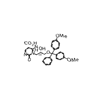 COc1ccc(C(OC[C@@H](O)Cn2c(NC(=O)O)ccnc2=O)(c2ccccc2)c2ccc(OC)cc2)cc1